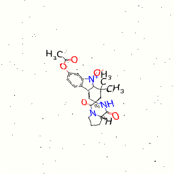 CC(=O)Oc1ccc2c(c1)[N+]([O-])=C1C2=C[C@]2(CC1(C)C)NC(=O)[C@@H]1CCCN1C2=O